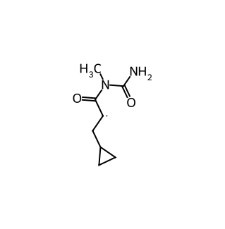 CN(C(N)=O)C(=O)[CH]CC1CC1